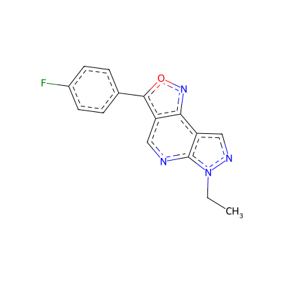 CCn1ncc2c3noc(-c4ccc(F)cc4)c3cnc21